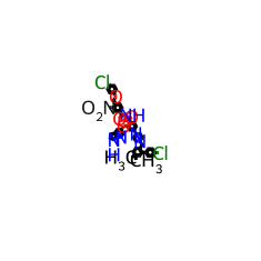 CC1(C)CCC(CN2CCN(c3ccc(S(=O)(=O)NC(=O)c4ccc(COc5ccc(Cl)cc5)c([N+](=O)[O-])c4)c(Oc4cnc5[nH]ccc5c4)c3)CC2)=C(c2ccc(Cl)cc2)C1